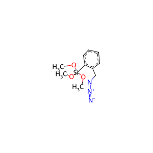 CO[Si](OC)(OC)c1ccccc1CN=[N+]=[N-]